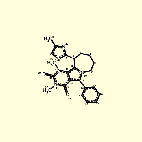 Cc1csc([C@H]2CCCCn3c(-c4ccccc4)c4c(=O)n(C)c(=O)n(C)c4c32)n1